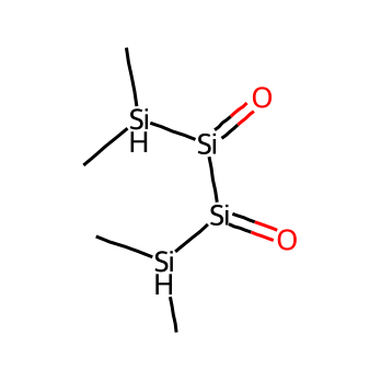 C[SiH](C)[Si](=O)[Si](=O)[SiH](C)C